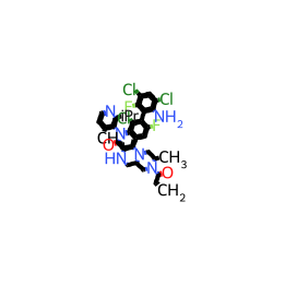 C=CC(=O)N1CC2CNc3c(c4cc(F)c(-c5c(N)c(Cl)cc(Cl)c5F)c(Cl)c4n(-c4c(C)ccnc4C(C)C)c3=O)N2CC1C